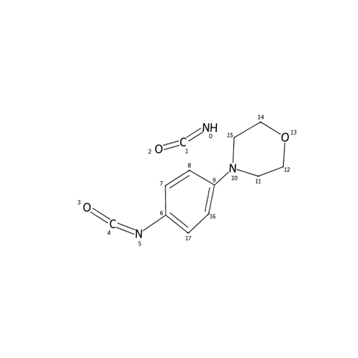 N=C=O.O=C=Nc1ccc(N2CCOCC2)cc1